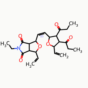 C=CC1OC(/C=C\C2OC(C=C)C3C(=O)N(CC)C(=O)C23)C(C(=O)CC)C1C(=O)CC